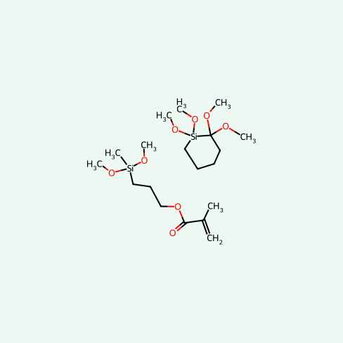 C=C(C)C(=O)OCCC[Si](C)(OC)OC.COC1(OC)CCCC[Si]1(OC)OC